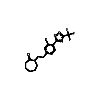 O=C1CCCCCN1CCc1ccc(-c2noc(C(F)(F)F)n2)c(F)c1